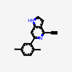 C#Cc1nc(-c2cc(C)ccc2C)cc2[nH]ccc12